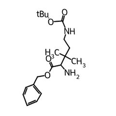 CC(C)(C)OC(=O)NCCC(C)(C)C(N)C(=O)OCc1ccccc1